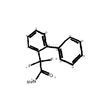 CNC(=O)C(F)(F)c1ccccc1-c1ccccc1